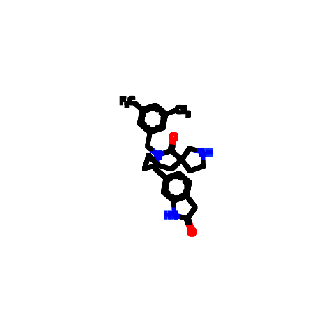 O=C1Cc2ccc(CN(Cc3cc(C(F)(F)F)cc(C(F)(F)F)c3)C(=O)C3(CC4CC4)CCNC3)cc2N1